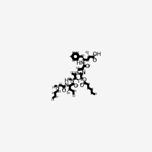 CCCCCC(=O)O[C@H](C[C@H](C(C)C)N(C)C(=O)[C@@H](NC(=O)CN(C)CCCC)[C@@H](C)CC)c1nc(C(=O)N[C@@H](Cc2ccccc2)C[C@H](C)C(=O)O)cs1